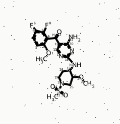 COc1ccc(F)c(F)c1C(=O)c1cnc(NC2CCN(S(C)(=O)=O)CC2OC)nc1N